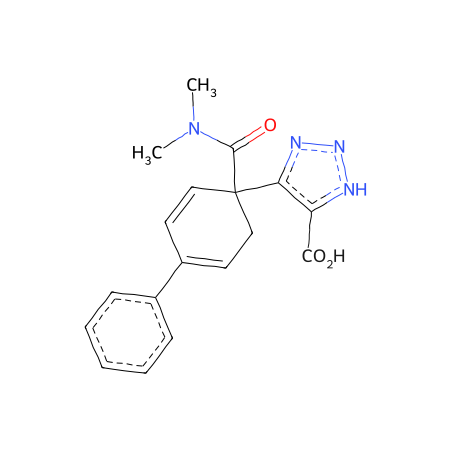 CN(C)C(=O)C1(c2nn[nH]c2C(=O)O)C=CC(c2ccccc2)=CC1